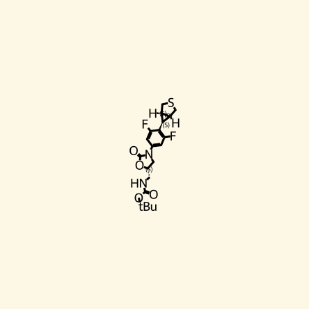 CC(C)(C)OC(=O)NC[C@H]1CN(c2cc(F)c([C@H]3[C@@H]4CSC[C@@H]43)c(F)c2)C(=O)O1